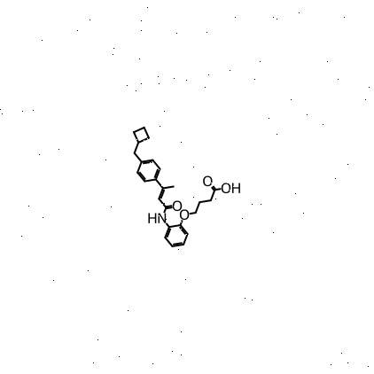 CC(=CC(=O)Nc1ccccc1OCCCC(=O)O)c1ccc(CC2CCC2)cc1